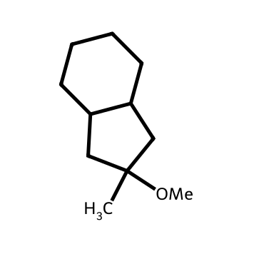 COC1(C)CC2CCCCC2C1